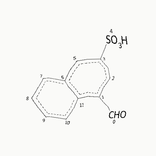 O=Cc1cc(S(=O)(=O)O)cc2ccccc12